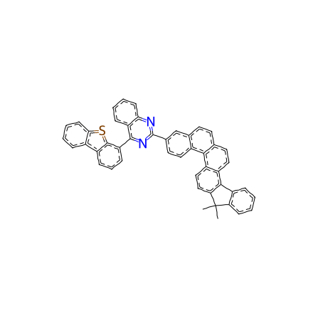 CC1(C)c2ccccc2-c2c1ccc1c2ccc2ccc3cc(-c4nc(-c5cccc6c5sc5ccccc56)c5ccccc5n4)ccc3c21